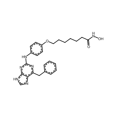 O=C(CCCCCCOc1ccc(Nc2nc(Cc3ccccc3)c3nc[nH]c3n2)cc1)NO